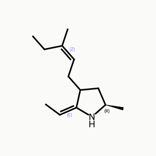 C/C=C1/N[C@H](C)CC1C/C=C(/C)CC